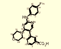 O=C(O)c1cncc(-c2cnc(Nc3ccc(F)cc3)nc2N2CCOCC2)c1